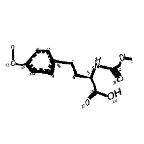 COC(=O)N[C@H](CCc1ccc(OC)cc1)C(=O)O